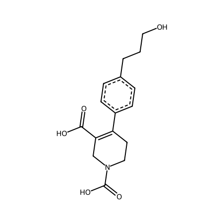 O=C(O)C1=C(c2ccc(CCCO)cc2)CCN(C(=O)O)C1